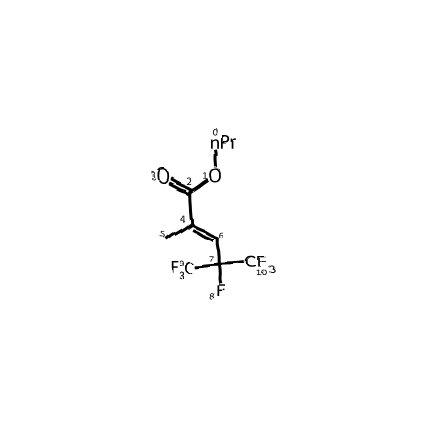 CCCOC(=O)C(C)=CC(F)(C(F)(F)F)C(F)(F)F